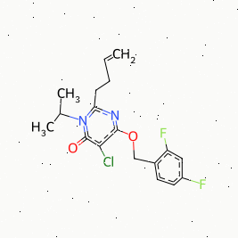 C=CCCc1nc(OCc2ccc(F)cc2F)c(Cl)c(=O)n1C(C)C